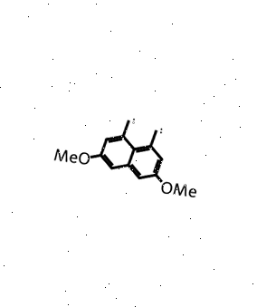 [CH]c1cc(OC)cc2cc(OC)cc([CH])c12